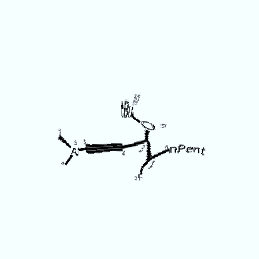 CCCCCC(F)C(C#[C][Al]([CH3])[CH3])OC(C)(C)C